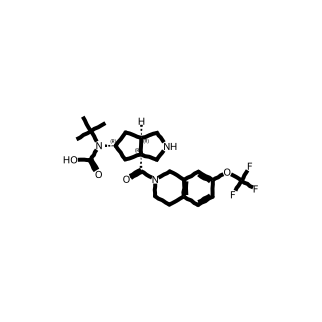 CC(C)(C)N(C(=O)O)[C@@H]1C[C@H]2CNC[C@@]2(C(=O)N2CCc3ccc(OC(F)(F)F)cc3C2)C1